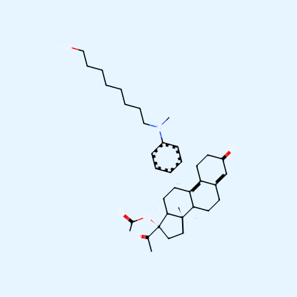 CC(=O)O[C@]1(C(C)=O)CC[C@H]2[C@@H]3CCC4=CC(=O)CCC4=C3[C@@H](c3ccc(N(C)CCCCCCCCO)cc3)C[C@@]21C